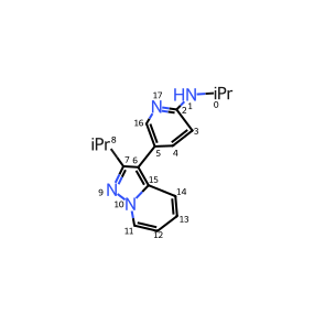 CC(C)Nc1ccc(-c2c(C(C)C)nn3ccccc23)cn1